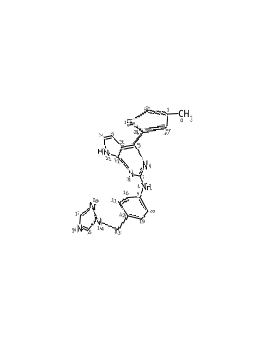 Cc1csc(-c2nc(Nc3ccc(Cn4cncn4)cc3)nc3[nH]ccc23)c1